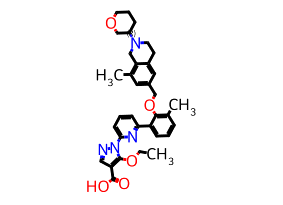 CCOc1c(C(=O)O)cnn1-c1cccc(-c2cccc(C)c2OCc2cc(C)c3c(c2)CCN([C@@H]2CCCOC2)C3)n1